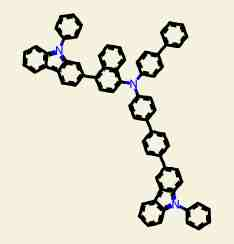 c1ccc(-c2ccc(N(c3ccc(-c4ccc(-c5ccc6c(c5)c5ccccc5n6-c5ccccc5)cc4)cc3)c3ccc(-c4ccc5c6ccccc6n(-c6ccccc6)c5c4)c4ccccc34)cc2)cc1